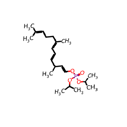 CC(C)=CCCC(C)=CC=CC(C)C=COP(=O)(OC(C)C)OC(C)C